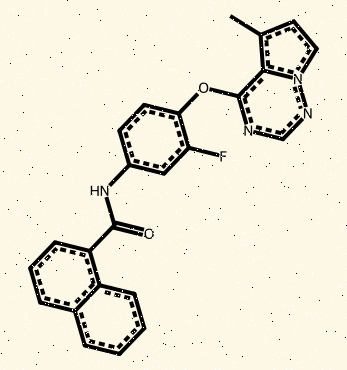 Cc1ccn2ncnc(Oc3ccc(NC(=O)c4cccc5ccccc45)cc3F)c12